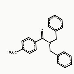 O=C(O)c1ccc(C(=O)N(Cc2ccccc2)Cc2ccccc2)cc1